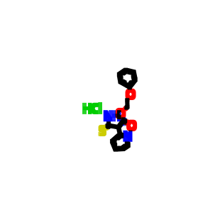 Cl.NC(=S)C(C(=O)OCCOc1ccccc1)c1ccccn1